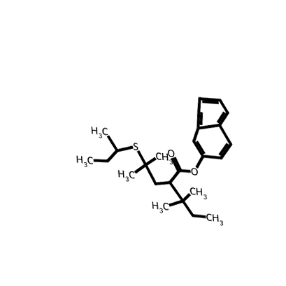 CCC(C)SC(C)(C)CC(C(=O)Oc1ccc2ccccc2c1)C(C)(C)CC